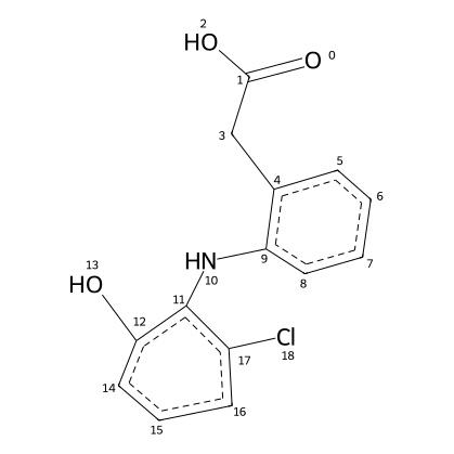 O=C(O)Cc1ccccc1Nc1c(O)cccc1Cl